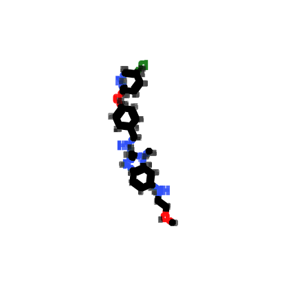 COCCNc1ccc2nc(NCc3ccc(Oc4ccc(Cl)cn4)cc3)n(C)c2c1